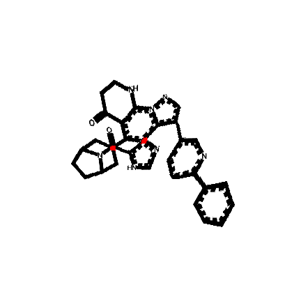 O=C1CCNc2c1c(C1CC3CCC(C1)N3C(=O)c1nnc[nH]1)nc1c(-c3ccc(-c4ccccc4)nc3)cnn21